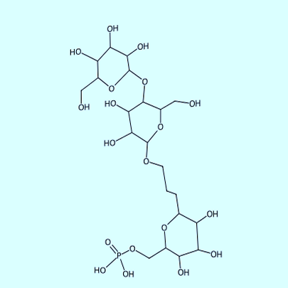 O=P(O)(O)OCC1OC(CCCOC2OC(CO)C(OC3OC(CO)C(O)C(O)C3O)C(O)C2O)C(O)C(O)C1O